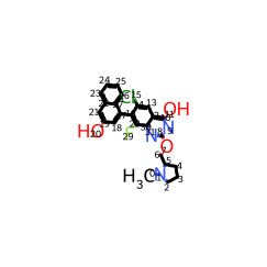 CN1CCCC1COc1nc(O)c2cc(Cl)c(-c3cc(O)cc4ccccc34)c(F)c2n1